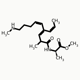 C\C=C/C(/C=C\CCCNC)=C\C(C)C(=O)N[C@H](C)C(=O)OC